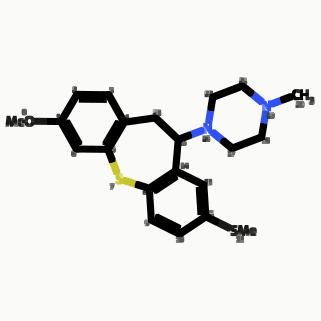 COc1ccc2c(c1)Sc1ccc(SC)cc1C(N1CCN(C)CC1)C2